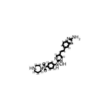 Cl.Nc1nc2ccc(/C=C/c3cnc(Nc4ccc(S(=O)(=O)N5CCCNCC5)cc4)nc3)cc2s1